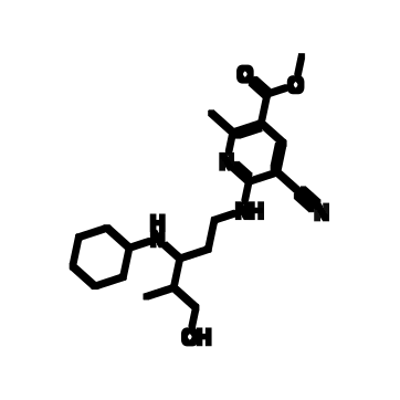 COC(=O)c1cc(C#N)c(NCCC(NC2CCCCC2)C(C)CO)nc1C